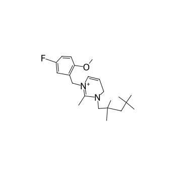 COc1ccc(F)cc1C[N+]1=C(C)N(CC(C)(C)CC(C)(C)C)CC=C1